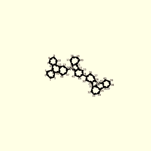 c1ccc2c(c1)c1ccccc1c1cc(-n3c4ccccc4c4cc(-c5ccc6c(c5)c5cccc7c8ccccc8n6c75)ccc43)ccc21